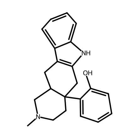 CN1CCC2(c3ccccc3O)Cc3[nH]c4ccccc4c3CC2C1